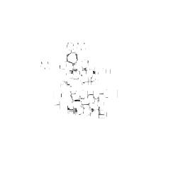 C=CC1O[C@@H](CC)C(C)(C)[C@H]([C@@H](O)/C(C)=C(\C)[C@H](C)OC(=O)[C@@H]2OC(c3ccc(OC)cc3OC)N(C(=O)OC(C)(C)C)[C@H]2CC(C)C)O1